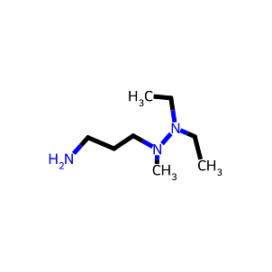 CCN(CC)N(C)CCCN